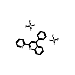 F[B-](F)(F)F.F[B-](F)(F)F.c1ccc(-c2cc(-c3ccccn3)nc3ccccc23)cc1